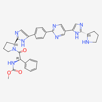 COC(=O)N[C@@H](C(=O)N1CCC[C@H]1c1ncc(-c2ccc(-c3ncc(-c4cnc([C@@H]5CCCN5)[nH]4)cn3)cc2)[nH]1)c1ccccc1